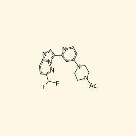 CC(=O)N1CCN(c2ccnc(-c3cnc4ccc(C(F)F)nn34)c2)CC1